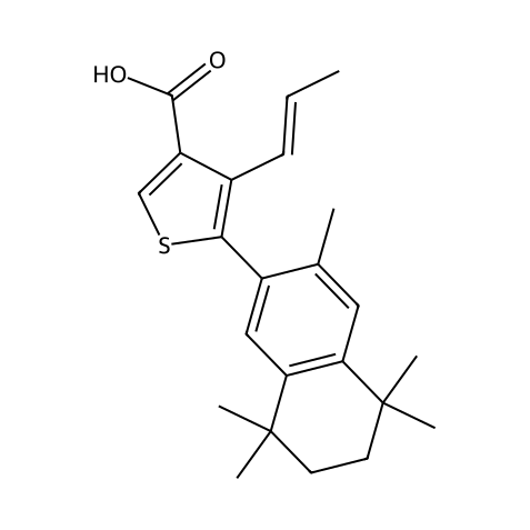 CC=Cc1c(C(=O)O)csc1-c1cc2c(cc1C)C(C)(C)CCC2(C)C